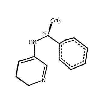 C[C@H](NC1=CCCN=C1)c1ccccc1